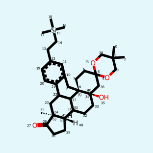 CC1(C)COC2(CC[C@@]34Cc5cc(CC[Si](C)(C)C)ccc5C5C[C@]6(C)C(=O)CC[C@H]6[C@H](CC[C@@]3(O)C2)C54)OC1